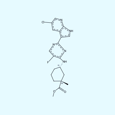 COC(=O)[C@]1(C)CCC[C@H](Nc2nc(-c3c[nH]c4ncc(Cl)cc34)ncc2F)C1